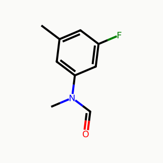 Cc1cc(F)cc(N(C)C=O)c1